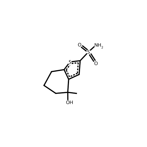 CC1(O)CCCc2sc(S(N)(=O)=O)cc21